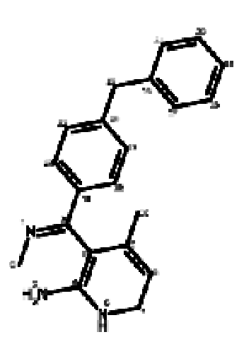 C/N=C(\C1=C(N)NCC=C1C)c1ccc(Cc2ccccc2)cc1